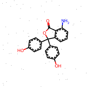 Nc1cccc2c1C(=O)OC2(c1ccc(O)cc1)c1ccc(O)cc1